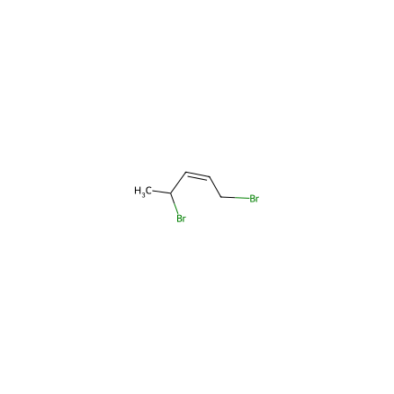 CC(Br)/C=C\CBr